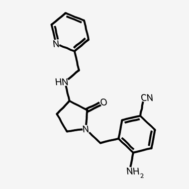 N#Cc1ccc(N)c(CN2CCC(NCc3ccccn3)C2=O)c1